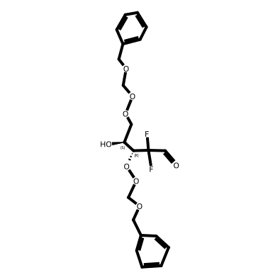 O=CC(F)(F)[C@H](OOCOCc1ccccc1)[C@@H](O)COOCOCc1ccccc1